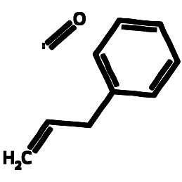 C=CCc1ccccc1.[C]=O